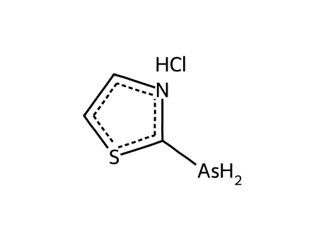 Cl.[AsH2]c1nccs1